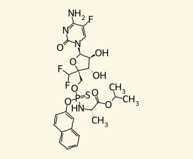 CC(C)OC(=O)[C@H](C)NP(=S)(OC[C@@]1(C(F)F)O[C@@H](n2cc(F)c(N)nc2=O)[C@@H](O)[C@@H]1O)Oc1ccc2ccccc2c1